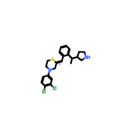 CC(c1ccccc1/C=C1/CN(c2ccc(Cl)c(Cl)c2)CCS1)C1CCNC1